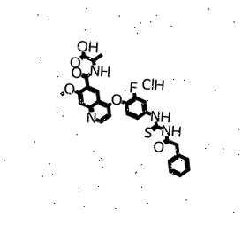 COc1cc2nccc(Oc3ccc(NC(=S)NC(=O)Cc4ccccc4)cc3F)c2cc1C(=O)NC(C)C(=O)O.Cl